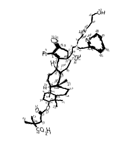 CC(C)C1=C2[C@H]3CC[C@@H]4[C@@]5(C)CC[C@H](OC(=O)CC(C)(C)C(=O)O)C(C)(C)C5CC[C@@]4(C)[C@]3(C)CC[C@@]2([C@@H](O)CN(CCNCCO)Cc2ccccn2)CC1=O